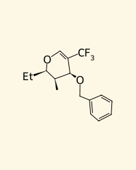 CC[C@H]1OC=C(C(F)(F)F)[C@@H](OCc2ccccc2)[C@H]1C